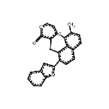 Cc1ccc2ccc(-c3cc4ccccc4o3)c(Cc3cccoc3=O)c2c1O